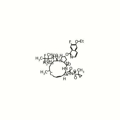 CCOc1cc2ccnc(O[C@@H]3C[C@H]4C(=O)N[C@]5(C(=O)NS(=O)(=O)C6(C)CC6)C[C@H]5C=CCC[C@@H](C)C[C@@H](C)[C@H](N(C(=O)O)C(C)(C)C(C)(F)F)C(=O)N4C3)c2cc1F